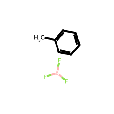 Cc1ccccc1.FB(F)F